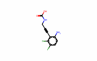 Nc1ccc(F)c(F)c1C#CCNC(=O)O